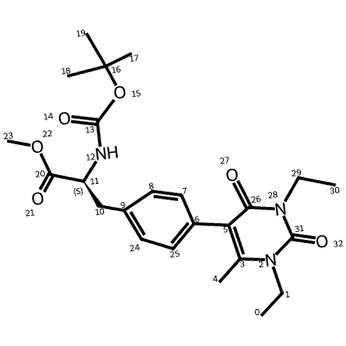 CCn1c(C)c(-c2ccc(C[C@H](NC(=O)OC(C)(C)C)C(=O)OC)cc2)c(=O)n(CC)c1=O